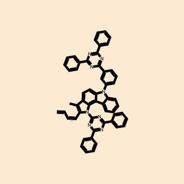 C=C/C=C\c1c(C)c2ccc3c(c4ccccc4n3-c3cccc(-c4nc(-c5ccccc5)nc(-c5ccccc5)n4)c3)c2n1-c1nc(-c2ccccc2)nc(-c2ccccc2)n1